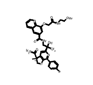 COCCNC(=O)COc1cc(C(=O)NCC(O)(c2cc3c(c(-c4ccc(F)cc4)n2)OC[C@]3(C)C(N)=O)C(F)(F)F)cc2cccnc12